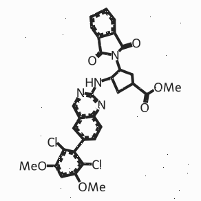 COC(=O)C1CC(Nc2ncc3cc(-c4c(Cl)c(OC)cc(OC)c4Cl)ccc3n2)C(N2C(=O)c3ccccc3C2=O)C1